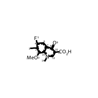 COc1c(C)c(F)cc2c(=O)c(C(=O)O)cn(C)c12